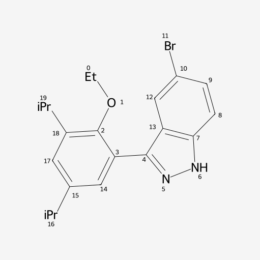 CCOc1c(-c2n[nH]c3ccc(Br)cc23)cc(C(C)C)cc1C(C)C